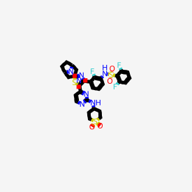 CN(C)C1CC2CCC(C1)N2c1nc(-c2cccc(NS(=O)(=O)c3c(F)cccc3F)c2F)c(-c2ccnc(NC3CCS(=O)(=O)CC3)n2)s1